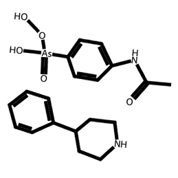 CC(=O)Nc1ccc([As](=O)(O)OO)cc1.c1ccc(C2CCNCC2)cc1